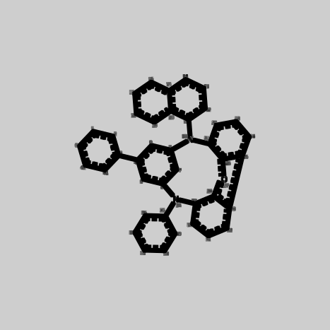 c1ccc(-c2cc3cc(c2)N(c2cccc4ccccc24)c2cccc4c2oc2c(cccc24)N3c2ccccc2)cc1